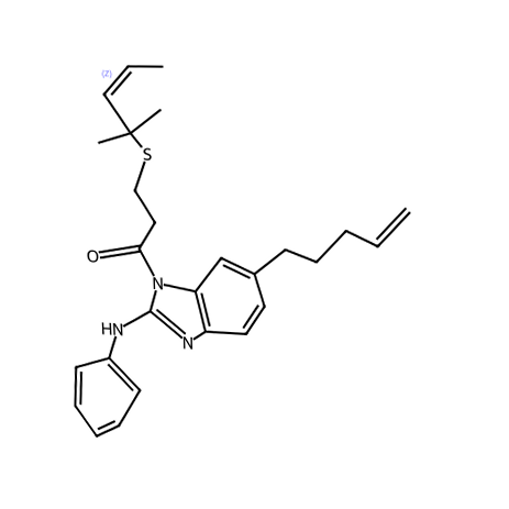 C=CCCCc1ccc2nc(Nc3ccccc3)n(C(=O)CCSC(C)(C)/C=C\C)c2c1